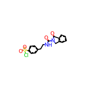 O=C(NCCc1ccc(S(=O)(=O)Cl)cc1)N1Cc2ccccc2C1=O